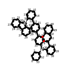 c1ccc(N(c2ccc(-c3ccc(-c4ccccc4-n4c5ccccc5c5ccccc54)cc3)cc2)c2ccccc2-c2ccc3ccccc3c2)cc1